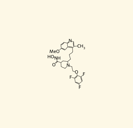 COc1ccc2ncc(C)c(CCCC3CC(C(=O)NO)CCN3CCOc3c(F)cc(F)cc3F)c2c1